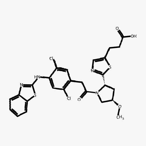 CO[C@@H]1C[C@@H](c2ncc(CCC(=O)O)s2)N(C(=O)Cc2cc(Cl)c(Nc3nc4ccccc4s3)cc2Cl)C1